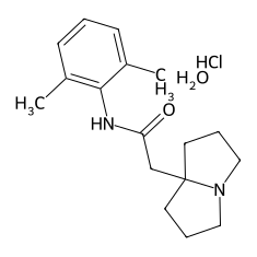 Cc1cccc(C)c1NC(=O)CC12CCCN1CCC2.Cl.O